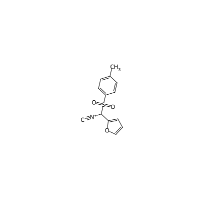 [C-]#[N+]C(c1ccco1)S(=O)(=O)c1ccc(C)cc1